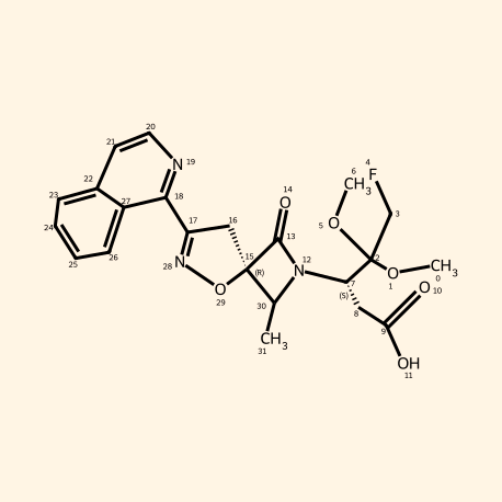 COC(CF)(OC)[C@H](CC(=O)O)N1C(=O)[C@@]2(CC(c3nccc4ccccc34)=NO2)C1C